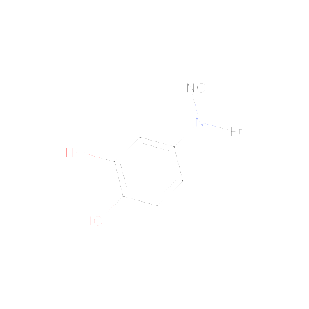 CCN(N=O)c1ccc(O)c(O)c1